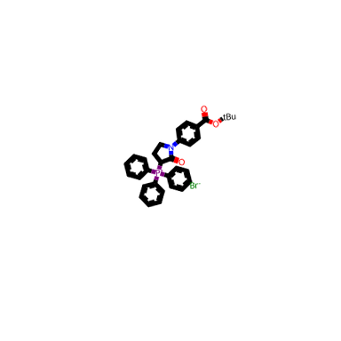 CC(C)(C)OC(=O)c1ccc(N2CCC([P+](c3ccccc3)(c3ccccc3)c3ccccc3)C2=O)cc1.[Br-]